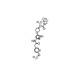 COc1ccc(CC(=O)Nc2cc([C@H]3CC[C@@H](OC(=O)N4CCC4(C)C)C3)[nH]n2)cn1